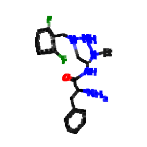 CCN1NN(Cc2c(F)cccc2F)CC1NC(=O)[C@@H](N)Cc1ccccc1